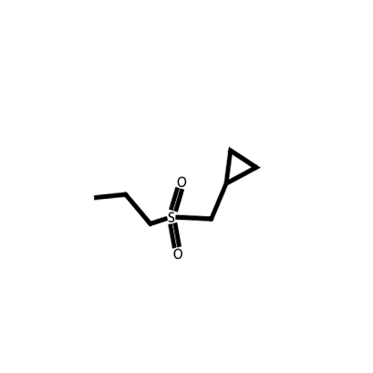 CCCS(=O)(=O)CC1CC1